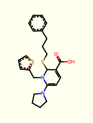 O=C(O)C1=CC=C(N2CCCC2)N(Cc2cccs2)C1SCCCc1ccccc1